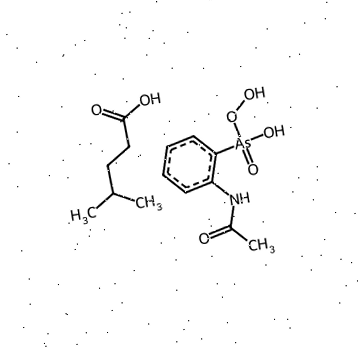 CC(=O)Nc1ccccc1[As](=O)(O)OO.CC(C)CCC(=O)O